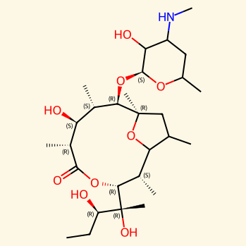 CC[C@@H](O)[C@@](C)(O)[C@@H]1OC(=O)[C@H](C)[C@@H](O)[C@H](C)[C@@H](O[C@@H]2OC(C)CC(NC)C2O)[C@@]2(C)CC(C)C(O2)[C@@H]1C